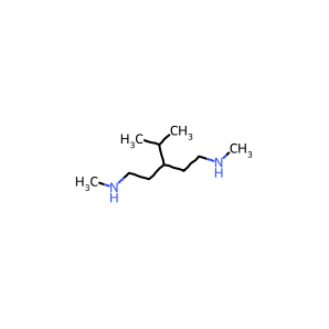 CNCCC(CCNC)C(C)C